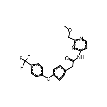 COCc1nccc(NC(=O)Cc2ccc(Oc3ccc(C(F)(F)F)cc3)cc2)n1